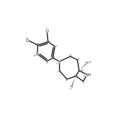 Clc1cc(N2CC[C@@H]3CN[C@@H]3CC2)cnc1Cl